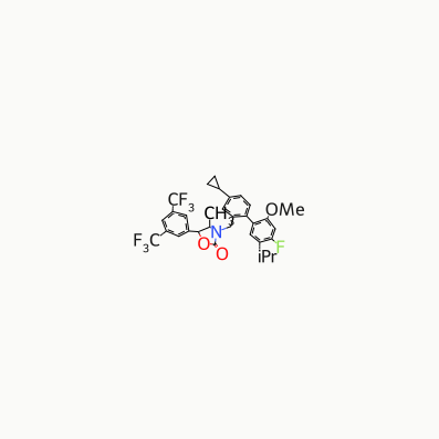 COc1cc(F)c(C(C)C)cc1-c1ccc(C2CC2)cc1CN1C(=O)OC(c2cc(C(F)(F)F)cc(C(F)(F)F)c2)C1C